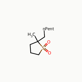 CCCCCCC1(C)CCCS1(=O)=O